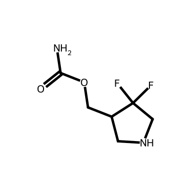 NC(=O)OCC1CNCC1(F)F